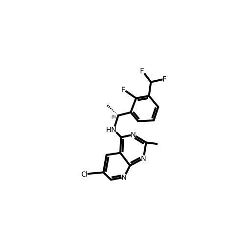 Cc1nc(N[C@H](C)c2cccc(C(F)F)c2F)c2cc(Cl)cnc2n1